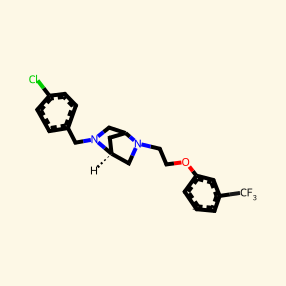 FC(F)(F)c1c[c]cc(OCCN2C[C@@H]3CC2CN3Cc2ccc(Cl)cc2)c1